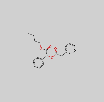 CCCCOC(=O)C(OC(=O)Cc1ccccc1)c1ccccc1